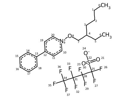 CCCCC(CC)CO[n+]1ccc(-c2ccccc2)cc1.O=S(=O)([O-])C(F)(F)C(F)(F)C(F)(F)C(F)(F)F